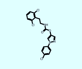 O=C(NCCc1c(Cl)cccc1Cl)Oc1cnn(-c2ccc(Cl)cc2)c1